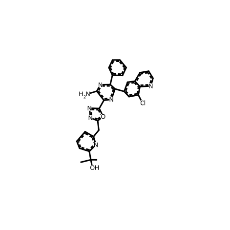 CC(C)(O)c1cccc(Cc2nnc(-c3nc(-c4cc(Cl)c5ncccc5c4)c(-c4ccccc4)nc3N)o2)n1